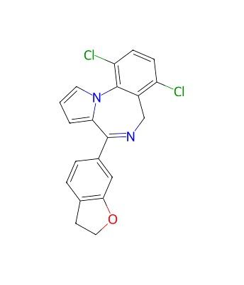 Clc1ccc(Cl)c2c1CN=C(c1ccc3c(c1)OCC3)c1cccn1-2